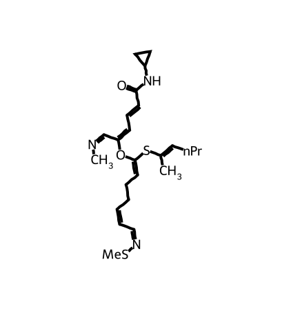 CCC/C=C(\C)S/C(=C/CC/C=C\C=N/SC)OC(/C=N\C)=C/C=C/C(=O)NC1CC1